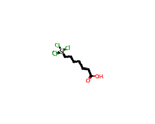 O=C(O)CCCCCC[Si](Cl)(Cl)Cl